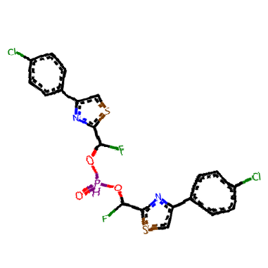 O=[PH](OC(F)c1nc(-c2ccc(Cl)cc2)cs1)OC(F)c1nc(-c2ccc(Cl)cc2)cs1